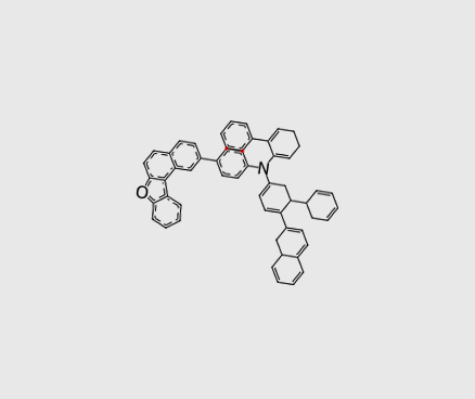 C1=CCC(C2CC(N(C3=CCCC=C3c3ccccc3)c3ccc(-c4ccc5ccc6oc7ccccc7c6c5c4)cc3)=CC=C2C2=CC=C3C=CC=CC3C2)C=C1